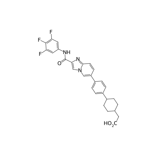 O=C(O)CC1CCC(c2ccc(-c3ccc4nc(C(=O)Nc5cc(F)c(F)c(F)c5)cn4c3)cc2)CC1